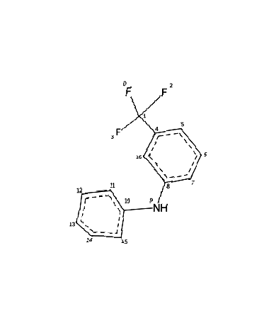 FC(F)(F)c1cccc(Nc2ccccc2)c1